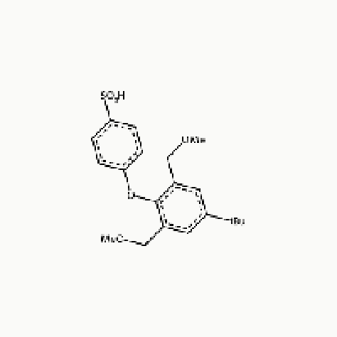 COCc1cc(C(C)(C)C)cc(COC)c1Oc1ccc(S(=O)(=O)O)cc1